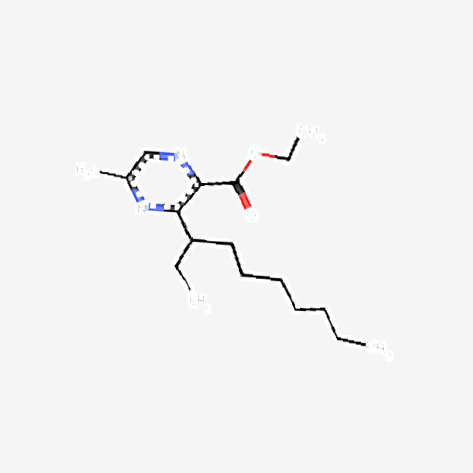 CCCCCCCC(CC)c1nc(C)cnc1C(=O)OCC